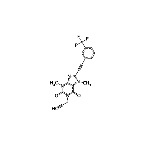 C#CCn1c(=O)c2c(nc(C#Cc3cccc(C(F)(F)F)c3)n2C)n(C)c1=O